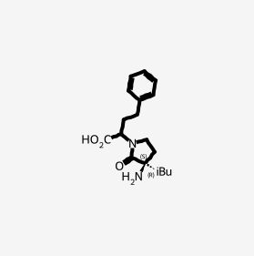 CC[C@@H](C)[C@@]1(N)CCN(C(CCc2ccccc2)C(=O)O)C1=O